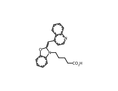 O=C(O)CCCCN1C(=Cc2ccnc3ccccc23)Oc2ccccc21